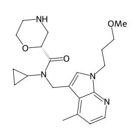 COCCCn1cc(CN(C(=O)[C@H]2CNCCO2)C2CC2)c2c(C)ccnc21